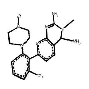 CCN1CCN(c2cccc(C(F)(F)F)c2-c2ccc3c(n2)N=C(N)N(C)C3N)CC1